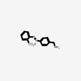 NCc1ccc(/N=N/c2ccccc2C(=O)O)cc1